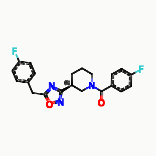 O=C(c1ccc(F)cc1)N1CCC[C@H](c2noc(Cc3ccc(F)cc3)n2)C1